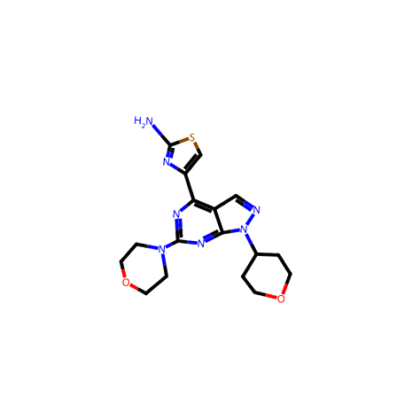 Nc1nc(-c2nc(N3CCOCC3)nc3c2cnn3C2CCOCC2)cs1